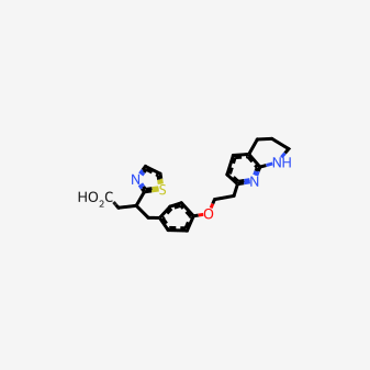 O=C(O)CC(Cc1ccc(OCCc2ccc3c(n2)NCCC3)cc1)c1nccs1